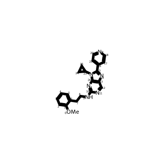 COc1ccccc1CCNc1ncc2nc(-c3ccncc3)n(C3CC3)c2n1